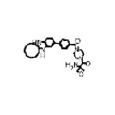 NC1(C(=O)N2CCN(C(=O)c3ccc(-c4ccc5c(c4)NC4(CCCCCCCC4)N5)cc3)CC2)COC1